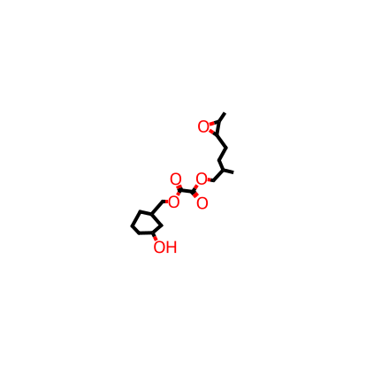 CC(CCC1OC1C)COC(=O)C(=O)OCC1CCCC(O)C1